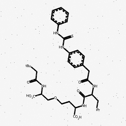 CC(C)CC(NC(=O)Cc1ccc(NC(=S)Nc2ccccc2)cc1)C(=O)NC(CCOCC(NC(=O)CC(C)(C)C)C(=O)O)C(=O)O